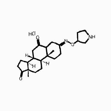 C[C@]12CCC(=NOC3CCNC3)CC1C(=O)C[C@@H]1[C@@H]2CC[C@]2(C)C(=O)CC[C@@H]12.Cl